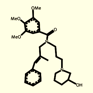 COc1cc(C(=O)N(CCCN2CCCC(O)C2)C/C(C)=C/c2ccccc2)cc(OC)c1OC